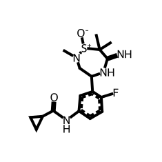 CN1CC(c2cc(NC(=O)C3CC3)ccc2F)NC(=N)C(C)(C)[S+]1[O-]